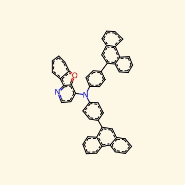 c1ccc2c(c1)cc(-c1ccc(N(c3ccc(-c4cc5ccccc5c5ccccc45)cc3)c3ccnc4c3oc3ccccc34)cc1)c1ccccc12